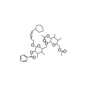 CC(=O)OCC1OC(OCC2OC(OCC=C=CC3CCCCC3)C(OC(=O)c3ccccc3)C(C)C2C)C(OC(C)=O)C(C)C1C